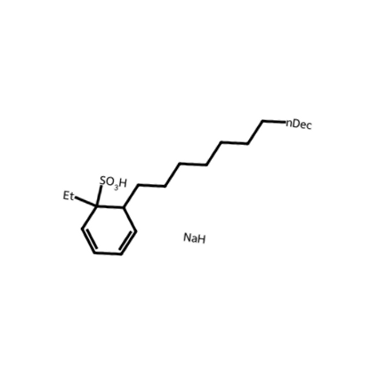 CCCCCCCCCCCCCCCCCC1C=CC=CC1(CC)S(=O)(=O)O.[NaH]